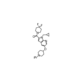 CC(C)N1CCC(Oc2cnc3c(c2)cc(C(=O)N2CCC(F)(F)CC2)n3CC2CC2)CC1